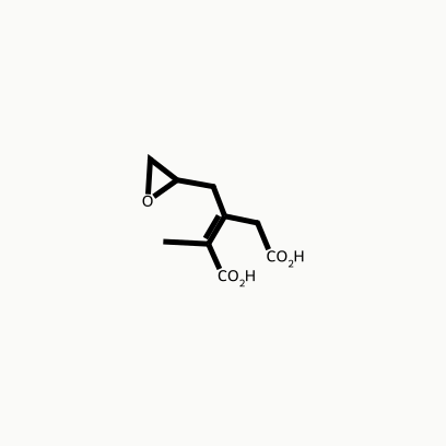 CC(C(=O)O)=C(CC(=O)O)CC1CO1